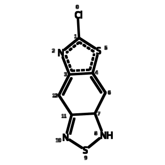 Clc1nc2c(s1)=CC1NSN=C1C=2